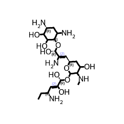 CC[C@@H](N)/C=C(\O)[C@H](O)OC1O[C@@H](/C=C(\N)[C@H](O)O[C@@H]2C(N)C[C@@H](N)C(O)C2O)CC(O)C1NC